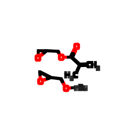 C=C(C)C(=O)OCC1CO1.CCCCOCC1CO1